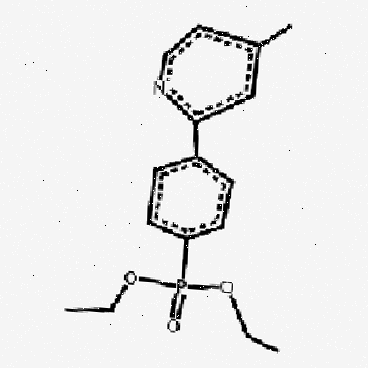 CCOP(=O)(OCC)c1ccc(-c2cc(C)ccn2)cc1